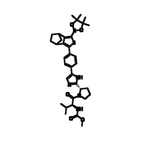 COC(=O)N[C@H](C(=O)N1CCC[C@H]1c1ncc(-c2ccc(-c3sc(B4OC(C)(C)C(C)(C)O4)c4c3C3CCC4C3)cc2)[nH]1)C(C)C